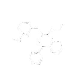 CCOC(=O)C(Cc1cccc(OC)n1)N=C(c1ccccc1)c1ccccc1